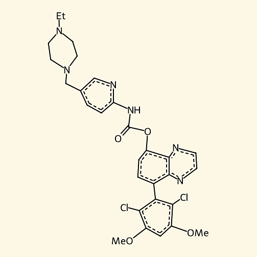 CCN1CCN(Cc2ccc(NC(=O)Oc3ccc(-c4c(Cl)c(OC)cc(OC)c4Cl)c4nccnc34)nc2)CC1